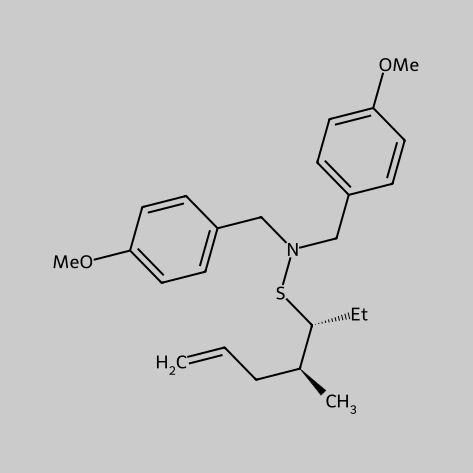 C=CC[C@H](C)[C@@H](CC)SN(Cc1ccc(OC)cc1)Cc1ccc(OC)cc1